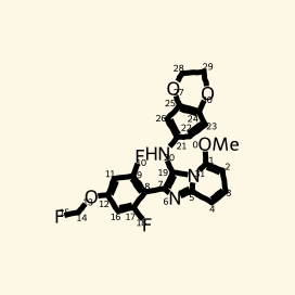 COc1cccc2nc(-c3c(F)cc(OCF)cc3F)c(Nc3ccc4c(c3)OCCO4)n12